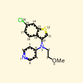 COCCN(c1ccncc1)c1csc2cc(Cl)ccc12